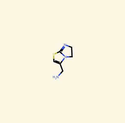 NCC1=CSC2=NCCN12